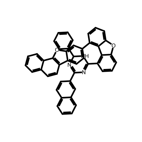 c1ccc(C2N=C(c3ccc4ccccc4c3)N=C(c3cccc4oc5cccc(-c6ccc7c(c6)oc6c8ccccc8ccc76)c5c34)N2)cc1